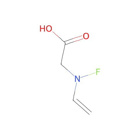 C=CN(F)CC(=O)O